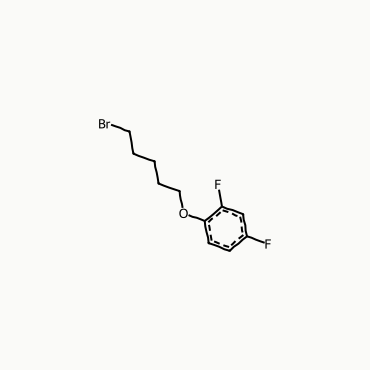 Fc1ccc(OCCCCCBr)c(F)c1